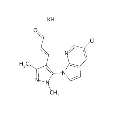 Cc1nn(C)c(-n2ccc3cc(Cl)cnc32)c1/C=C/C=O.[KH]